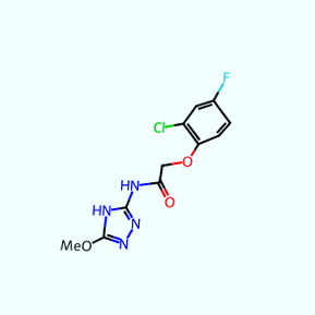 COc1nnc(NC(=O)COc2ccc(F)cc2Cl)[nH]1